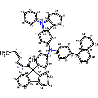 C=C(/C=C\C=C/C)C1(c2ccc(N(c3ccc(-c4cccc5ccccc45)cc3)c3ccc4c(c3)c3ccccc3n4-c3ccccc3)cc2)c2ccccc2-c2ccccc21